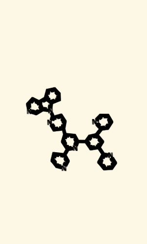 c1ccc(-c2cc(-c3ccccn3)cc(-c3cc(-c4ccc(-n5c6ccccc6c6ccncc65)nc4)cc(-c4cccnc4)n3)c2)nc1